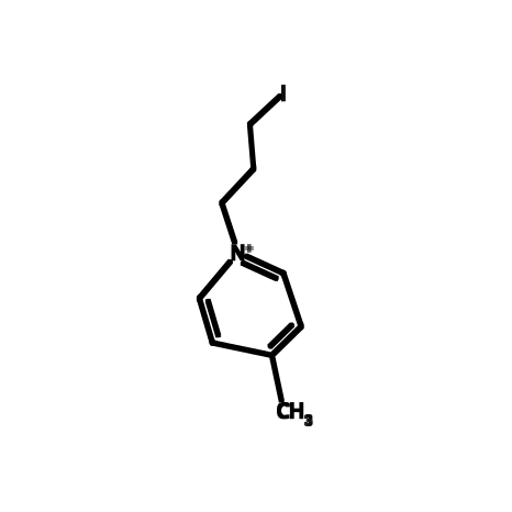 Cc1cc[n+](CCCI)cc1